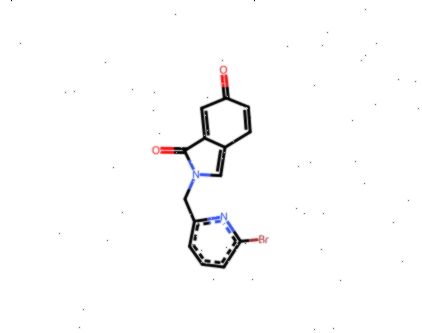 O=C1C=CC2=CN(Cc3cccc(Br)n3)C(=O)C2=C1